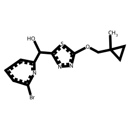 CC1(COc2nnc(C(O)c3cccc(Br)n3)s2)CC1